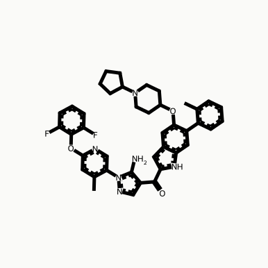 Cc1ccccc1-c1cc2[nH]c(C(=O)c3cnn(-c4cnc(Oc5c(F)cccc5F)cc4C)c3N)cc2cc1OC1CCN(C2CCCC2)CC1